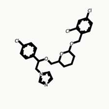 Clc1ccc(C(Cn2ccnc2)OCC2CCCC(OCc3ccc(Cl)cc3Cl)O2)cc1